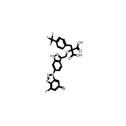 O=C(O)C(Cc1ccc(C(F)(F)F)cc1)(OCc1n[nH]c2cc(-n3nnc4c(F)cc(Br)cc43)ccc12)C(=O)O